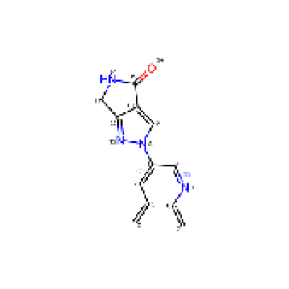 C=C/C=C(\C=N/C=C)n1cc2c(n1)CNC2=O